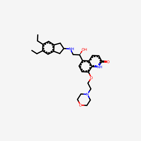 CCc1cc2c(cc1CC)CC(NC[C@@H](O)c1ccc(OCCN3CCOCC3)c3[nH]c(=O)ccc13)C2